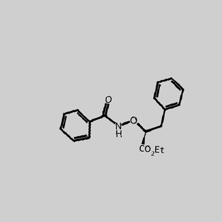 CCOC(=O)[C@H](Cc1ccccc1)ONC(=O)c1ccccc1